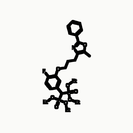 CCOP(=O)(OCC)C(c1ccc(F)c(OCCCc2nc(-c3ccccc3)oc2C)c1)P(=O)(OCC)OCC